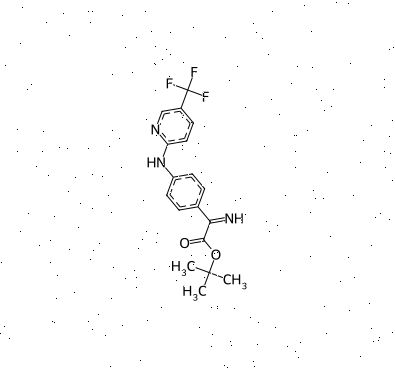 CC(C)(C)OC(=O)C(=N)c1ccc(Nc2ccc(C(F)(F)F)cn2)cc1